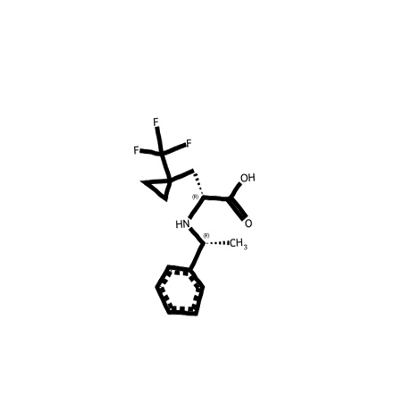 C[C@@H](N[C@H](CC1(C(F)(F)F)CC1)C(=O)O)c1ccccc1